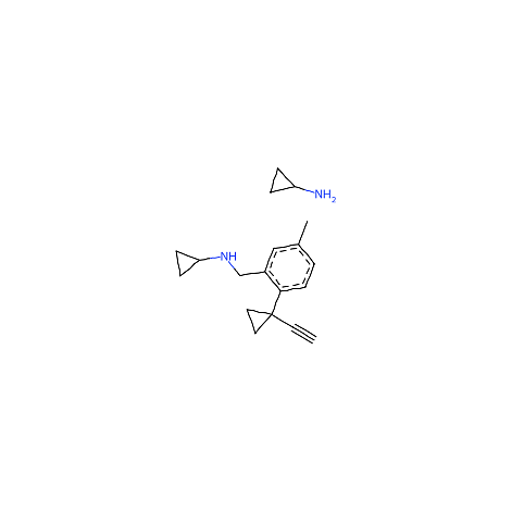 C#CC1(c2ccc(C)cc2CNC2CC2)CC1.NC1CC1